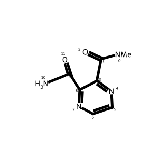 CNC(=O)c1nccnc1C(N)=O